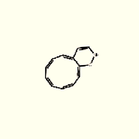 C1=Cc2ccccccccc2ON1